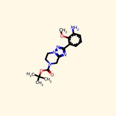 COc1c(N)cccc1-c1nc2n(n1)CCN(C(=O)OC(C)(C)C)C2